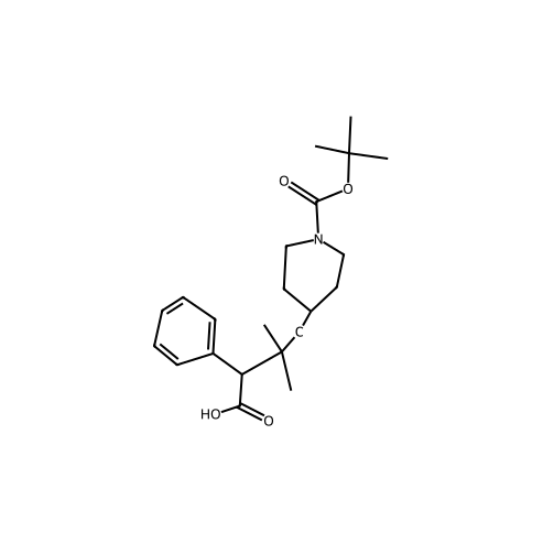 CC(C)(C)OC(=O)N1CCC(CC(C)(C)C(C(=O)O)c2ccccc2)CC1